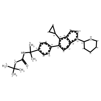 CC(C)(C)OC(=O)NC(C)(C)c1ccc(-c2ccc3c(cnn3C3CCCCO3)c2C2CC2)nc1